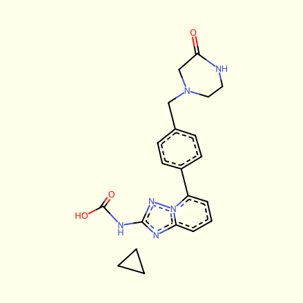 C1CC1.O=C(O)Nc1nc2cccc(-c3ccc(CN4CCNC(=O)C4)cc3)n2n1